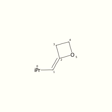 CC(C)C=C1CCO1